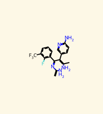 C=C(N)/N=C(\C(=C(\C)N)c1ccc(N)nc1)c1cccc(C(F)(F)F)c1F